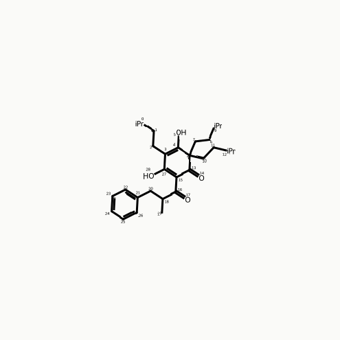 CC(C)CCC1=C(O)C(CCC(C)C)(CCC(C)C)C(=O)C(C(=O)C(C)Cc2ccccc2)=C1O